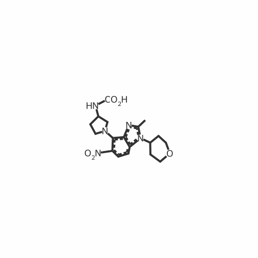 Cc1nc2c(N3CCC(NC(=O)O)C3)c([N+](=O)[O-])ccc2n1C1CCOCC1